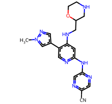 Cn1cc(-c2cnc(Nc3cnc(C#N)cn3)cc2NCC2CNCCO2)cn1